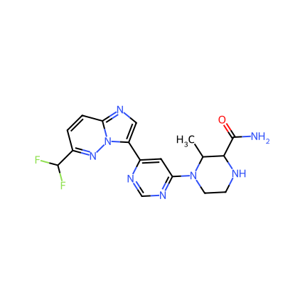 CC1C(C(N)=O)NCCN1c1cc(-c2cnc3ccc(C(F)F)nn23)ncn1